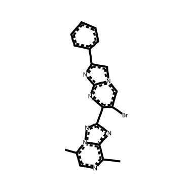 Cc1ncc(C)n2nc(-c3nc4nc(-c5ccccc5)cn4cc3Br)nc12